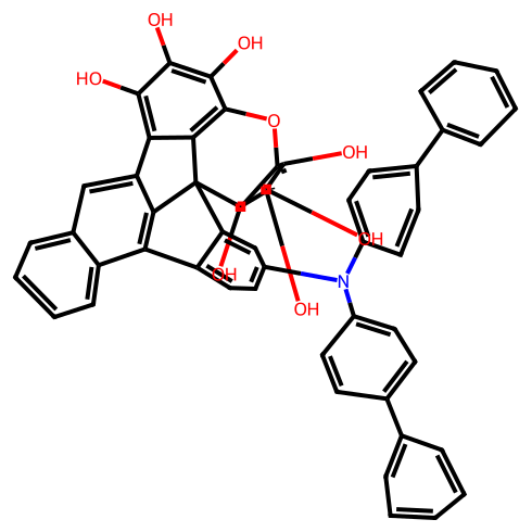 Oc1c(O)c(O)c2c(c1O)Oc1c(O)c(O)c(O)c3c1C21c2cc(N(c4ccc(-c5ccccc5)cc4)c4ccc(-c5ccccc5)cc4)ccc2-c2c1c-3cc1ccccc21